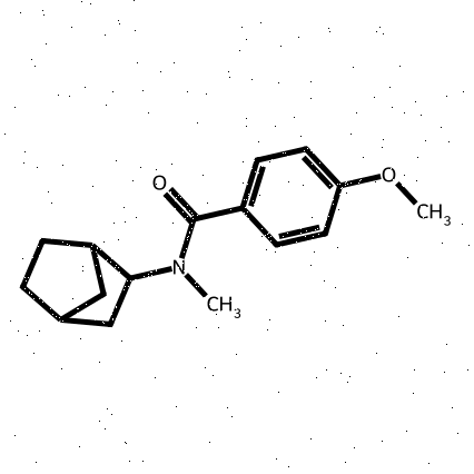 COc1ccc(C(=O)N(C)C2CC3CCC2C3)cc1